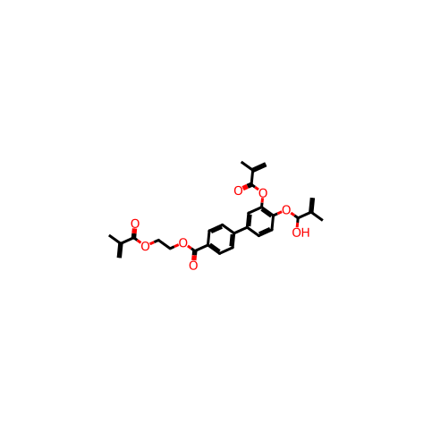 C=C(C)C(=O)OCCOC(=O)c1ccc(-c2ccc(OC(O)C(=C)C)c(OC(=O)C(=C)C)c2)cc1